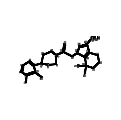 Cc1cccc(N2CCN(C(=O)Cn3nc(C(=O)O)c4c3C(F)(F)CCC4)CC2)c1C